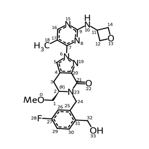 COC[C@H]1Cc2cn(-c3nc(NC4COC4)ncc3C)nc2C(=O)N1Cc1cc(F)ccc1CO